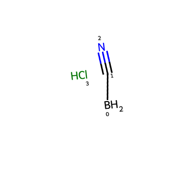 BC#N.Cl